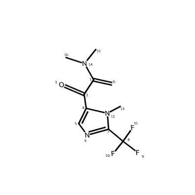 C=C(C(=O)c1cnc(C(F)(F)F)n1C)N(C)C